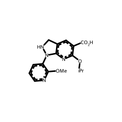 COc1ncccc1N1NCc2cc(C(=O)O)c(OC(C)C)nc21